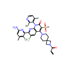 C=CC(=O)N1CC2(CCN(c3c(S(C)(=O)=O)c(=O)n(-c4c(C)ccnc4C(C)C)c4nc(-c5nc(N)cc(C)c5C(F)(F)F)c(F)cc34)CC2)C1